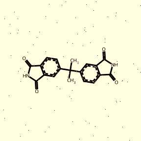 CC(C)(c1ccc2c(c1)C(=O)NC2=O)c1ccc2c(c1)C(=O)NC2=O